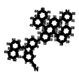 N#Cc1ccc2c(c1)c1cc(-c3ccc4c(-c5cccc6ccccc56)c5cc(-c6cccnc6)ccc5c(-c5cccc6ccccc56)c4c3)ccc1n2-c1cccc2ccccc12